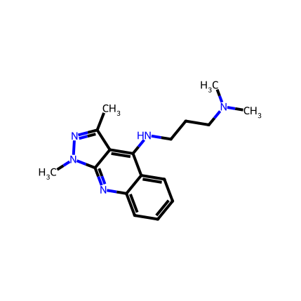 Cc1nn(C)c2nc3ccccc3c(NCCCN(C)C)c12